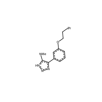 CNc1[nH]nnc1-c1cccc(OCCC(C)C)c1